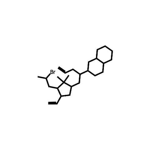 C=CCC(CC1CC(C=C)C(CC(C)Br)C1(C)C)C1CCC2CCCCC2C1